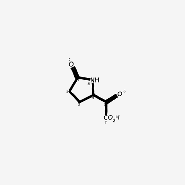 O=C1CCC(C(=O)C(=O)O)N1